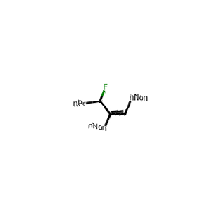 CCCCCCCCC/C=C(/CCCCCCCCC)C(F)CCC